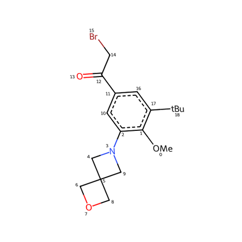 COc1c(N2CC3(COC3)C2)cc(C(=O)CBr)cc1C(C)(C)C